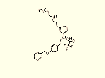 O=C(O)C(F)(F)F.O=C(O)CCNCCCc1cccc(OCCc2ccc(OCc3ccccc3)cc2)c1